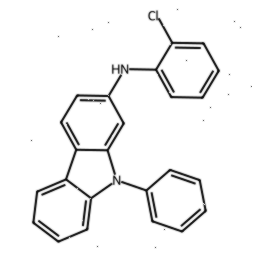 Clc1ccccc1Nc1ccc2c3ccccc3n(-c3ccccc3)c2c1